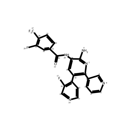 Nc1nc(-c2cccnc2)c(-c2ccncc2F)cc1NC(=O)c1ccc(C(F)(F)F)c(F)c1